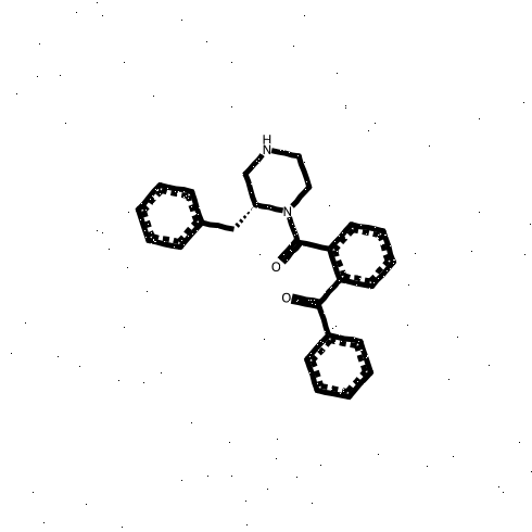 O=C(c1ccccc1)c1ccccc1C(=O)N1CCNC[C@H]1Cc1ccccc1